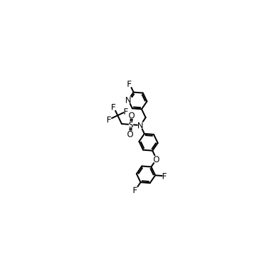 O=S(=O)(CC(F)(F)F)N(Cc1ccc(F)nc1)c1ccc(Oc2ccc(F)cc2F)cc1